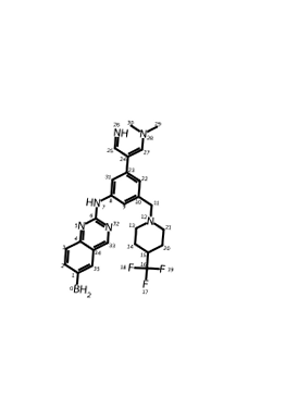 Bc1ccc2nc(Nc3cc(CN4CCC(C(F)(F)F)CC4)cc(/C(C=N)=C/N(C)C)c3)ncc2c1